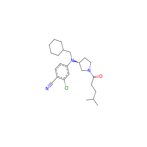 CC(C)CCC(=O)N1CC[C@H](N(CC2CCCCC2)c2ccc(C#N)c(Cl)c2)C1